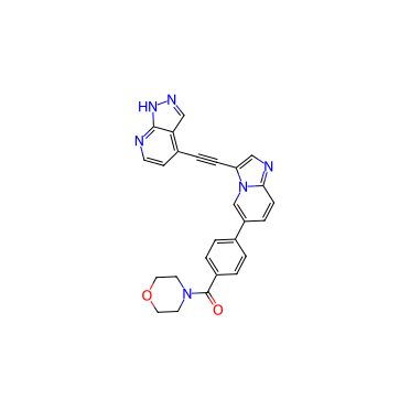 O=C(c1ccc(-c2ccc3ncc(C#Cc4ccnc5[nH]ncc45)n3c2)cc1)N1CCOCC1